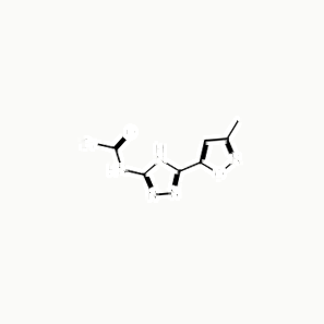 Cc1cc(-c2nnc(NC(=O)C(C)C)[nH]2)on1